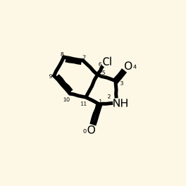 O=C1NC(=O)C2(Cl)C=CC=CC12